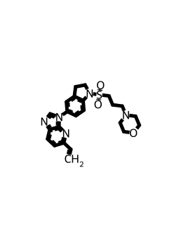 C=Cc1ccc2ncn(-c3ccc4c(c3)CCN4S(=O)(=O)CCCN3CCOCC3)c2n1